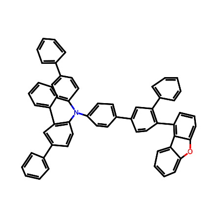 c1ccc(-c2ccc(N(c3ccc(-c4ccc(-c5cccc6oc7ccccc7c56)c(-c5ccccc5)c4)cc3)c3ccc(-c4ccccc4)cc3-c3ccccc3)cc2)cc1